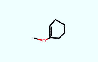 [CH2]OC1=CCCCC1